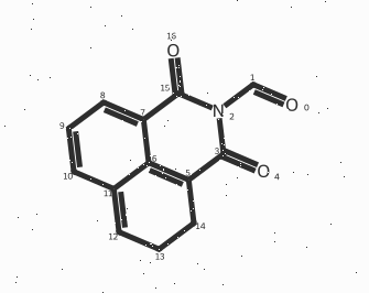 O=CN1C(=O)C2=c3c(cccc3=CCC2)C1=O